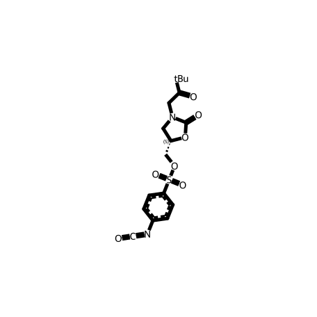 CC(C)(C)C(=O)CN1C[C@@H](COS(=O)(=O)c2ccc(N=C=O)cc2)OC1=O